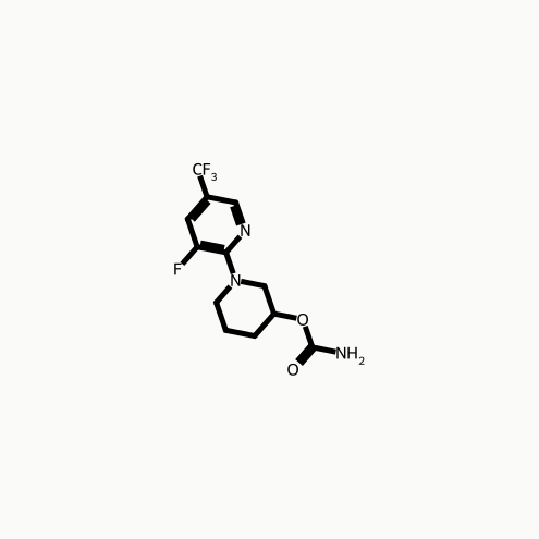 NC(=O)OC1CCCN(c2ncc(C(F)(F)F)cc2F)C1